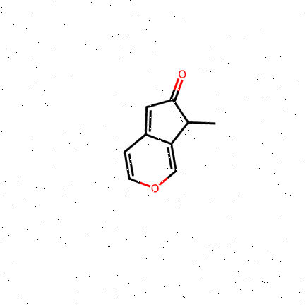 CC1C(=O)C=C2C=COC=C21